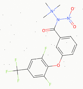 C[N+](C)(C)N(C(=O)c1cccc(Oc2c(F)cc(C(F)(F)F)cc2F)c1)[N+](=O)[O-]